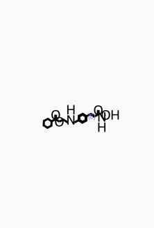 O=C(/C=C/c1ccc(CNCCOC(=O)C2CCCCC2)cc1)NO